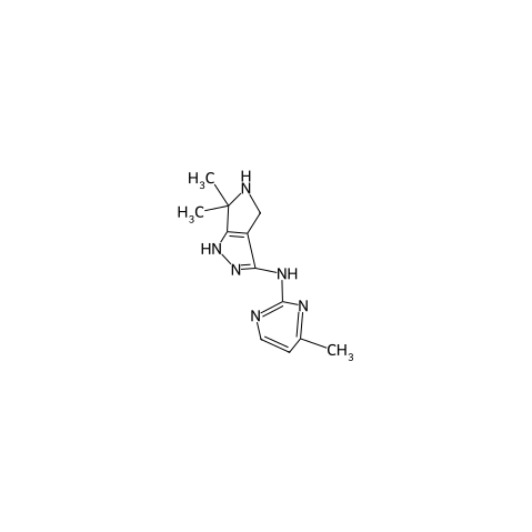 Cc1ccnc(Nc2n[nH]c3c2CNC3(C)C)n1